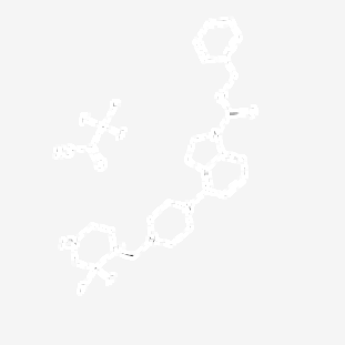 O=C(O)C(F)(F)F.O=C(OCc1ccccc1)N1CCc2c(N3CCN(C[C@@H]4CCNCC4(F)F)CC3)cccc21